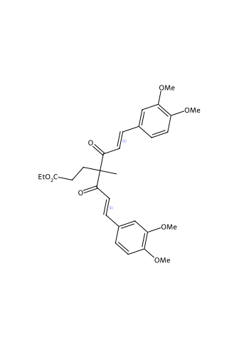 CCOC(=O)CCC(C)(C(=O)/C=C/c1ccc(OC)c(OC)c1)C(=O)/C=C/c1ccc(OC)c(OC)c1